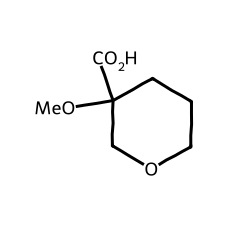 COC1(C(=O)O)CCCOC1